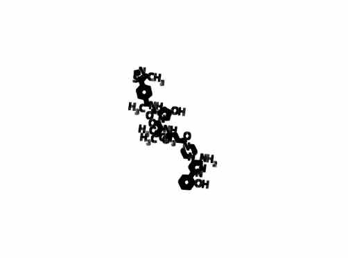 Cc1ncsc1-c1ccc([C@H](C)NC(=O)[C@@H]2C[C@@H](O)CN2C(=O)[C@@H](NC(=O)CCC(=O)N2CCN(c3cc(-c4ccccc4O)nnc3N)CC2)C(C)(C)C)cc1